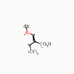 CCO/C=C(\CC(Cl)(Cl)Cl)C(=O)O